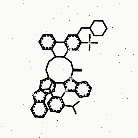 C=C1CC2C(CCc3cc4sc5ccccc5c4cc3-c3n(-c4c(C(C)C)cccc4C(C)C)c4ccccc4[n+]31)c1ccccc1-c1cc(CC3CCCCC3)c([Si](C)(C)C)c[n+]12